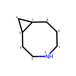 C1CNCCC2CC2C1